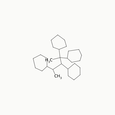 CC(C1CCCCC1)C(C1CCCCC1)C(C)(C1CCCCC1)C1CCCCC1